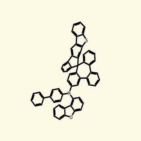 c1ccc(-c2ccc(N(c3ccc4c(c3)-c3ccccc3-c3ccccc3C43c4ccccc4-c4cc5c(cc43)sc3ccccc35)c3cccc4oc5ccccc5c34)cc2)cc1